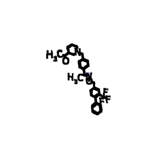 CC(=O)C1CCCN(Cc2ccc(/C(C)=N/OCc3ccc(-c4ccccc4)c(C(F)(F)F)c3)cc2)C1